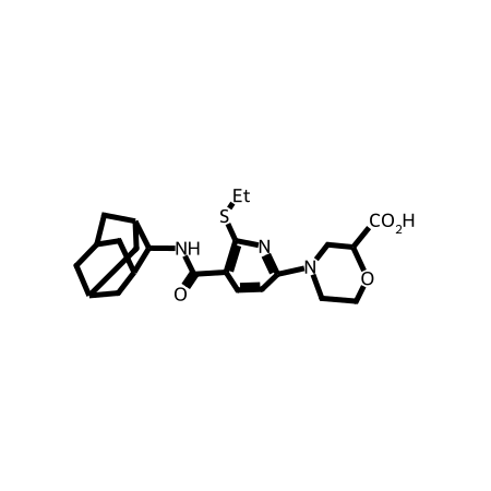 CCSc1nc(N2CCOC(C(=O)O)C2)ccc1C(=O)NC1C2CC3CC(C2)CC1C3